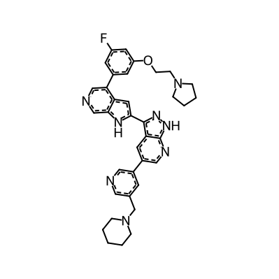 Fc1cc(OCCN2CCCC2)cc(-c2cncc3[nH]c(-c4n[nH]c5ncc(-c6cncc(CN7CCCCC7)c6)cc45)cc23)c1